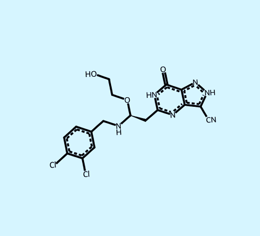 N#Cc1[nH]nc2c(=O)[nH]c(C[C@@H](NCc3ccc(Cl)c(Cl)c3)OCCO)nc12